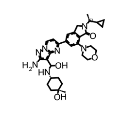 C[C@@H](C1CC1)N1Cc2cc(-c3ccn4nc(N)c(C(O)N[C@H]5CC[C@@](C)(O)CC5)c4n3)cc(N3CCOCC3)c2C1=O